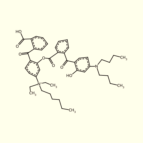 CCCCCC[N+](CC)(CC)c1ccc(C(=O)c2ccccc2C(=O)O)c(OC(=O)c2ccccc2C(=O)c2ccc(N(CCCC)CCCC)cc2O)c1